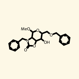 COC1OC(COCc2ccccc2)C(O)C2OC(=O)N(Cc3ccccc3)C12